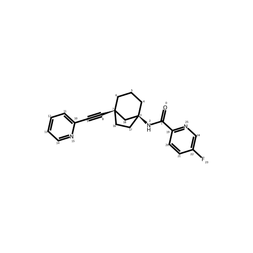 O=C(N[C@@]12CCC[C@@](C#Cc3ccccn3)(CC1)C2)c1ccc(F)cn1